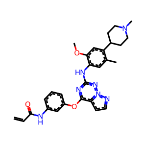 C=CC(=O)Nc1cccc(Oc2nc(Nc3cc(C)c(C4CCN(C)CC4)cc3OC)nn3nccc23)c1